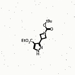 CCOC(=O)c1c[nH]nc1C1CN(C(=O)OC(C)(C)C)C1